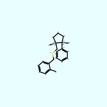 Cc1ccccc1CSC[C@]1(C)CCC[C@]1(C)c1ccccc1